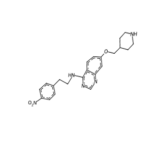 O=[N+]([O-])c1ccc(CCNc2ncnc3cc(OCC4CCNCC4)ccc23)cc1